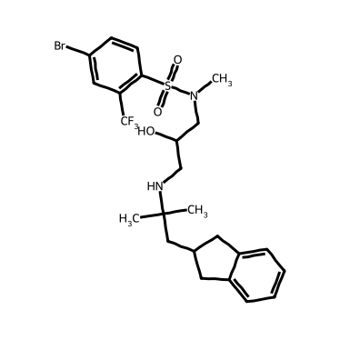 CN(CC(O)CNC(C)(C)CC1Cc2ccccc2C1)S(=O)(=O)c1ccc(Br)cc1C(F)(F)F